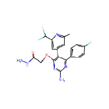 Cc1cc(-c2c(OCC(=O)NN)nc(N)nc2-c2ccc(F)cc2)cc(C(F)F)n1